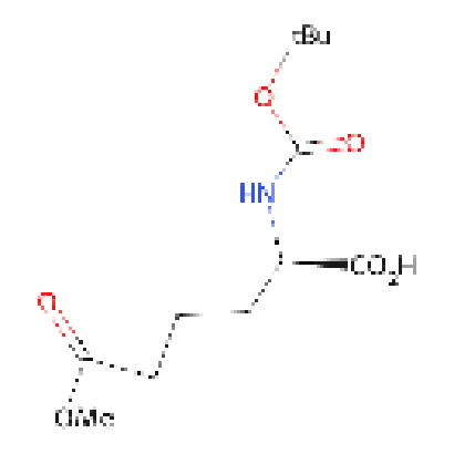 COC(=O)CCC[C@@H](NC(=O)OC(C)(C)C)C(=O)O